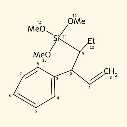 C=CC(c1ccccc1)C(CC)[Si](OC)(OC)OC